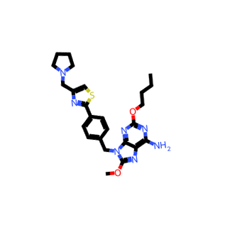 CCCCOc1nc(N)c2nc(OC)n(Cc3ccc(-c4nc(CN5CCCC5)cs4)cc3)c2n1